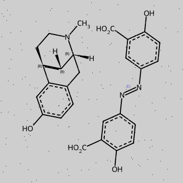 CN1CC[C@]23CCCC[C@H]2[C@H]1Cc1ccc(O)cc13.O=C(O)c1cc(/N=N/c2ccc(O)c(C(=O)O)c2)ccc1O